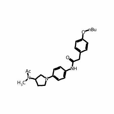 CCCCOc1ccc(CC(=O)Nc2ccc(N3CCC(N(C)C(C)=O)C3)cc2)cc1